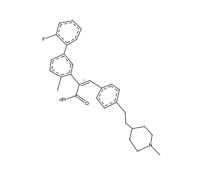 CCCC(=O)/C(=C\c1ccc(CCC2CCN(C)CC2)cc1)c1cc(-c2ccccc2F)ccc1C